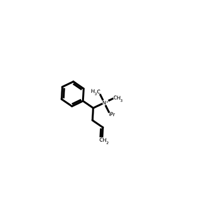 C=CCC(c1ccccc1)[N+](C)(C)C(C)C